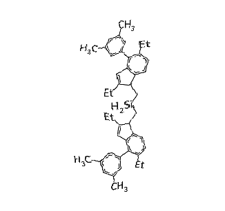 CCC1=Cc2c(ccc(CC)c2-c2cc(C)cc(C)c2)C1C[SiH2]CC1C(CC)=Cc2c1ccc(CC)c2-c1cc(C)cc(C)c1